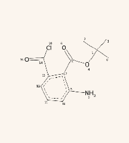 CC(C)(C)OC(=O)c1c(N)cccc1C(=O)Cl